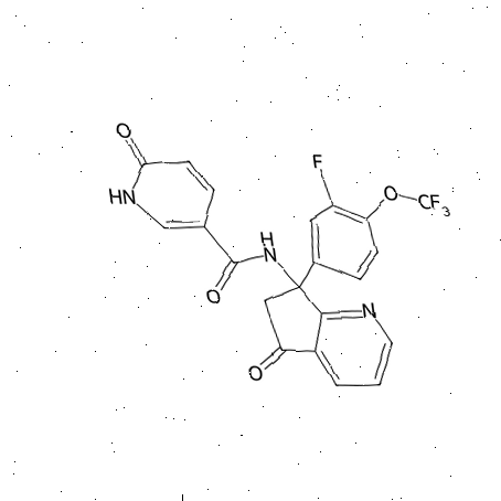 O=C(NC1(c2ccc(OC(F)(F)F)c(F)c2)CC(=O)c2cccnc21)c1ccc(=O)[nH]c1